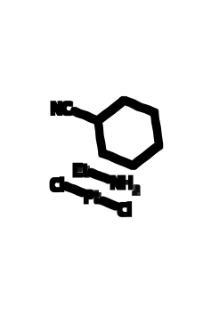 CCN.N#CC1CCCCC1.[Cl][Pt][Cl]